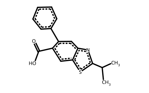 CC(C)c1nc2cc(-c3ccccc3)c(C(=O)O)cc2s1